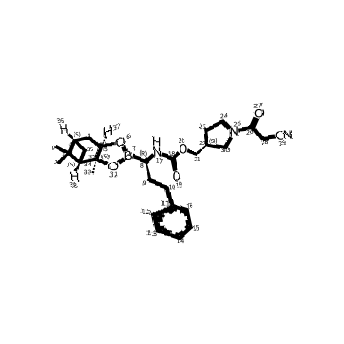 CC1(C)[C@@H]2C[C@H]3OB([C@H](CCc4ccccc4)NC(=O)OC[C@H]4CCN(C(=O)CC#N)C4)O[C@@]3(C)[C@H]1C2